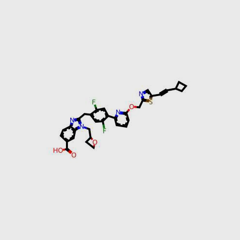 O=C(O)c1ccc2nc(Cc3cc(F)c(-c4cccc(OCc5ncc(C#CC6CCC6)s5)n4)cc3F)n(CC3CCO3)c2c1